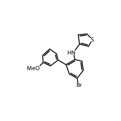 COc1cccc(-c2cc(Br)ccc2Nc2ccsc2)c1